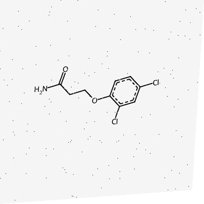 NC(=O)CCOc1ccc(Cl)cc1Cl